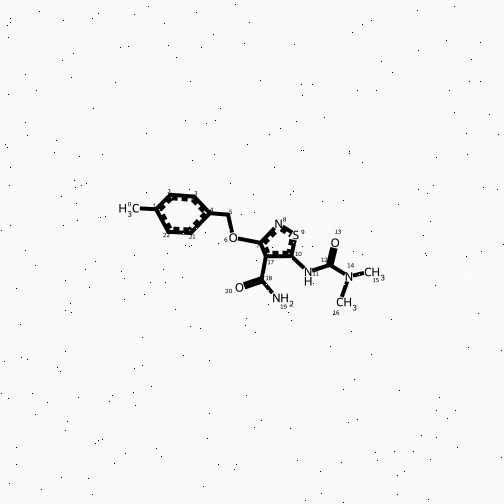 Cc1ccc(COc2nsc(NC(=O)N(C)C)c2C(N)=O)cc1